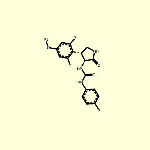 CCOc1cc(F)c([C@@H]2CNC(=O)[C@H]2NC(=O)Nc2ccc(F)cc2)c(F)c1